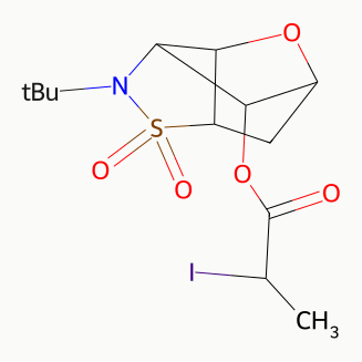 CC(I)C(=O)OC1C2CC3C(O2)C1N(C(C)(C)C)S3(=O)=O